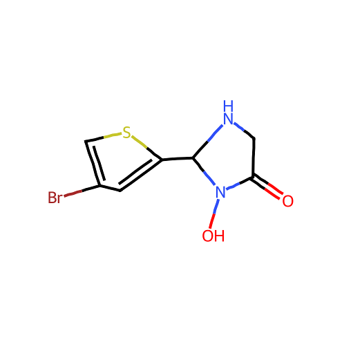 O=C1CNC(c2cc(Br)cs2)N1O